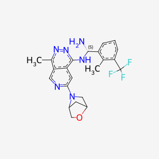 Cc1c([C@@H](N)Nc2nnc(C)c3cnc(N4CC5CC4CO5)cc23)cccc1C(F)(F)F